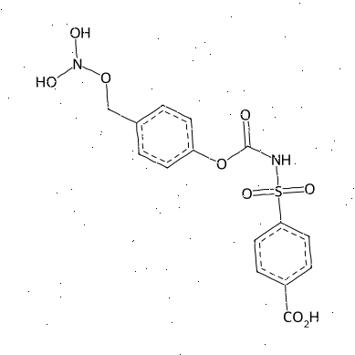 O=C(NS(=O)(=O)c1ccc(C(=O)O)cc1)Oc1ccc(CON(O)O)cc1